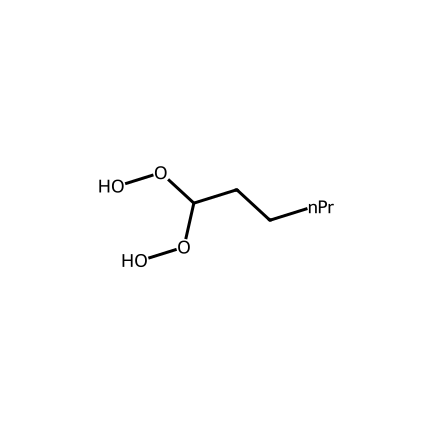 CCCCCC(OO)OO